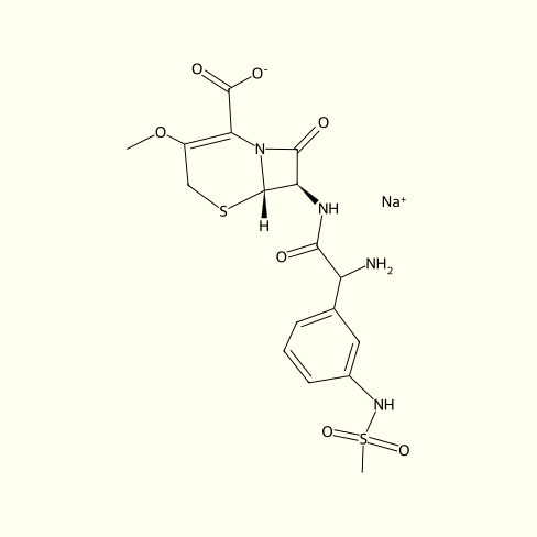 COC1=C(C(=O)[O-])N2C(=O)[C@@H](NC(=O)C(N)c3cccc(NS(C)(=O)=O)c3)[C@@H]2SC1.[Na+]